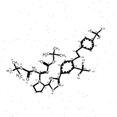 CC(C)(C)OC(=O)N=C(NC(=O)OC(C)(C)C)N1CCCC1C1NC(c2ccc(CCc3ccc(C(F)(F)F)cc3)c(C(F)(F)F)c2)=NO1